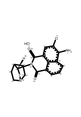 Cl.Nc1c(Cl)cc2c3c(cccc13)C(=O)N([C@@H]1CN3CCC1CC3)C2=O